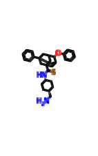 NC[C@H]1CC[C@H](NC(=S)C23CC4CC(c5ccccc5)(CC(C2)C4Oc2ccccc2)C3)CC1